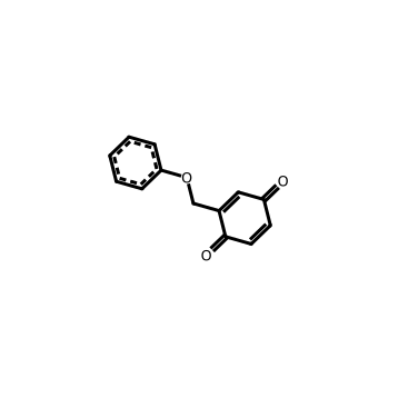 O=C1C=CC(=O)C(COc2ccccc2)=C1